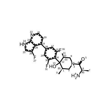 C[C@@H]1CN(C(=O)[C@@H](C)N)C[C@H](C)C1(O)c1c(F)cc(-c2ccnc3[nH]cc(F)c23)cc1F